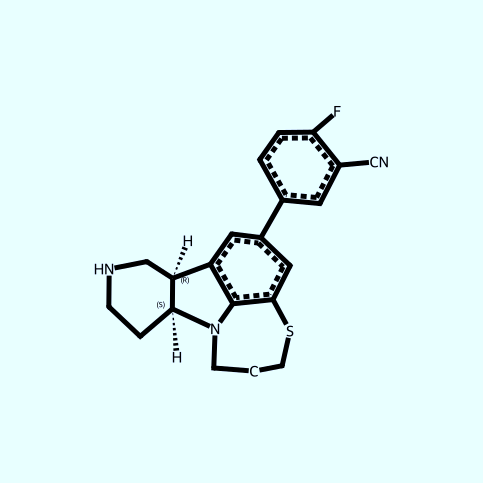 N#Cc1cc(-c2cc3c4c(c2)[C@@H]2CNCC[C@@H]2N4CCCS3)ccc1F